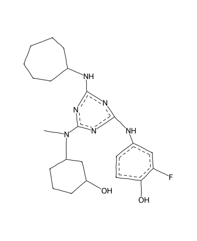 CN(c1nc(Nc2ccc(O)c(F)c2)nc(NC2CCCCCC2)n1)C1CCCC(O)C1